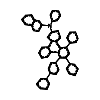 c1ccc(-c2ccc(-c3c(-c4ccccc4)cc(-c4ccccc4)c4c5ccc(N(c6ccccc6)c6ccc7ccccc7c6)cc5c5ccccc5c34)cc2)cc1